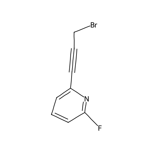 Fc1cccc(C#CCBr)n1